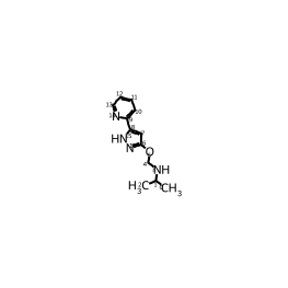 CC(C)NCOc1cc(-c2ccccn2)[nH]n1